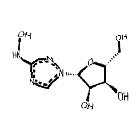 OC[C@H]1O[C@@H](n2cnc(NO)n2)[C@H](O)[C@@H]1O